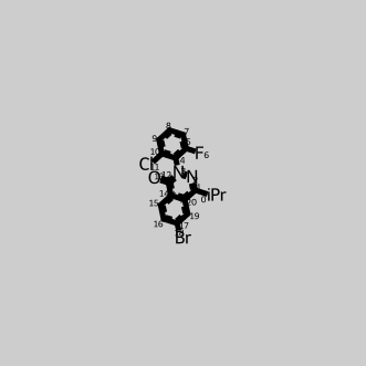 CC(C)c1nn(-c2c(F)cccc2Cl)c(=O)c2ccc(Br)cc12